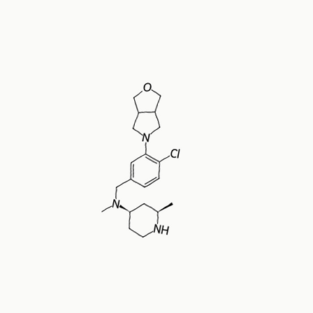 C[C@@H]1C[C@H](N(C)Cc2ccc(Cl)c(N3CC4COCC4C3)c2)CCN1